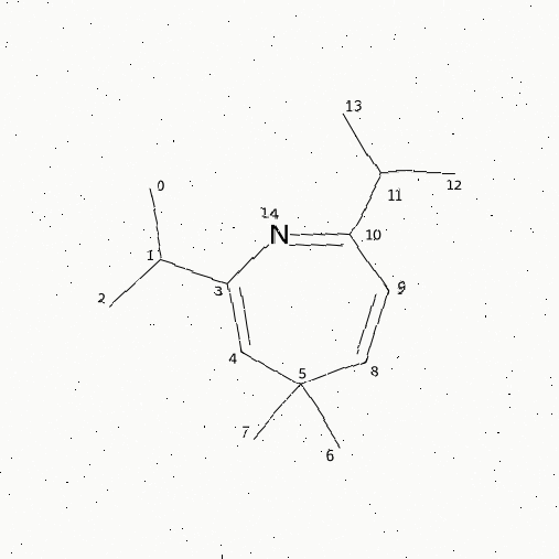 CC(C)C1=CC(C)(C)C=CC(C(C)C)=N1